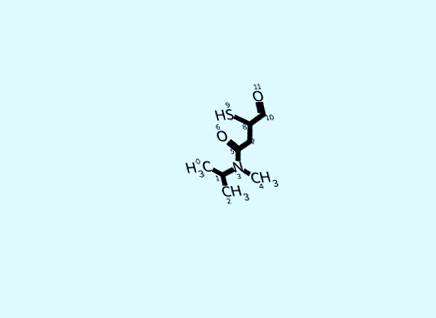 CC(C)N(C)C(=O)CC(S)C=O